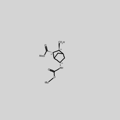 COC(=O)[C@H]1C2CC(C[C@@H]2NC(=O)OC(C)(C)C)[C@@H]1C(=O)O